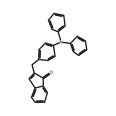 O=C1C(Cc2ccc(N(c3ccccc3)c3ccccc3)cc2)=Cc2ccccc21